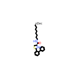 CCCCCCCCCCCCCCCCCCNC(=O)[C@@H]1CSC(c2ccccc2-c2ccccc2)N1